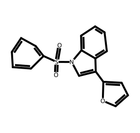 O=S(=O)(c1ccccc1)n1cc(-c2ccco2)c2ccccc21